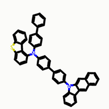 c1ccc(-c2ccc(N(c3ccc(-c4ccc(-n5c6ccccc6c6cc7ccccc7cc65)cc4)cc3)c3cccc4sc5ccccc5c34)cc2)cc1